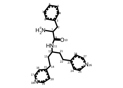 NC(Cc1ccccc1)C(=O)NC(CCc1ccncc1)CCc1ccncc1